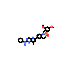 COc1ccc(CN2c3ccc(-c4cc(C)c5nc(NC6CCCCC6)ncc5n4)cc3CCS2(=O)=O)c(OC)c1